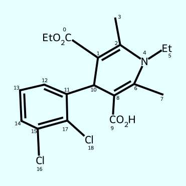 CCOC(=O)C1=C(C)N(CC)C(C)=C(C(=O)O)C1c1cccc(Cl)c1Cl